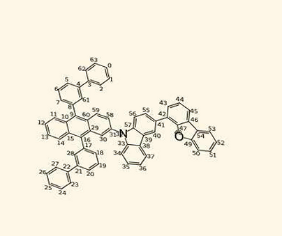 c1ccc(-c2cccc(-c3c4ccccc4c(-c4cccc(-c5ccccc5)c4)c4cc(-n5c6ccccc6c6cc(-c7cccc8c7oc7ccccc78)ccc65)ccc34)c2)cc1